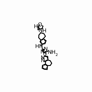 Nc1nc(Nc2ccc3c(c2)CCC(N2C[C@H]4C[C@@H]2CO4)CC3)nn1-c1cc2c(nn1)-c1ccccc1CCC2